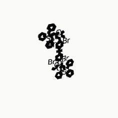 C=CC(=C)OC(CCc1c(Br)cc(C(C)(C)c2cc(Br)c(OCC(CC(Sc3ccccc3)(Sc3ccccc3)Sc3ccccc3)OC(=O)C=C)c(Br)c2)cc1Br)CC(Sc1ccccc1)(Sc1ccccc1)Sc1ccccc1